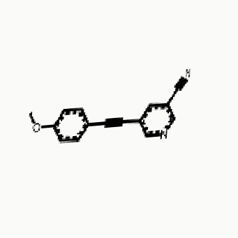 COc1ccc(C#Cc2cncc(C#N)c2)cc1